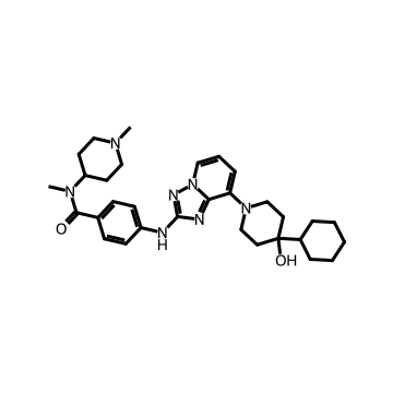 CN1CCC(N(C)C(=O)c2ccc(Nc3nc4c(N5CCC(O)(C6CCCCC6)CC5)cccn4n3)cc2)CC1